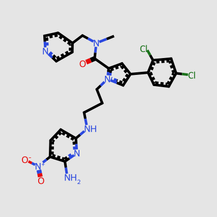 CN(Cc1ccncc1)C(=O)c1cc(-c2ccc(Cl)cc2Cl)cn1CCCNc1ccc([N+](=O)[O-])c(N)n1